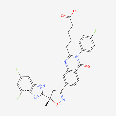 C[C@@]1(c2nc3c(F)cc(F)cc3[nH]2)CC(c2ccc3c(=O)n(-c4ccc(F)cc4)c(CCCCC(=O)O)nc3c2)=NO1